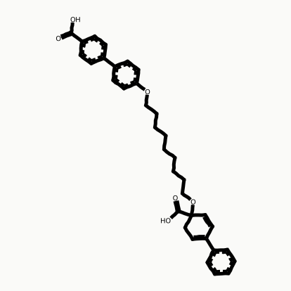 O=C(O)c1ccc(-c2ccc(OCCCCCCCCCOC3(C(=O)O)C=CC(c4ccccc4)=CC3)cc2)cc1